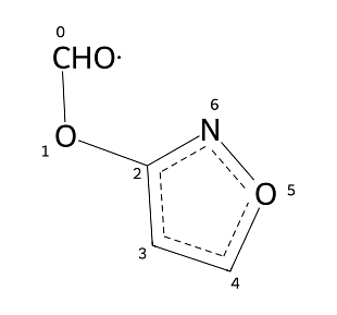 O=[C]Oc1ccon1